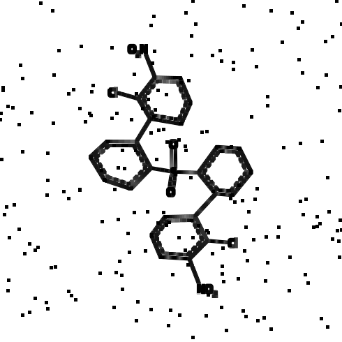 O=[N+]([O-])c1cccc(-c2ccccc2S(=O)(=O)c2ccccc2-c2cccc([N+](=O)[O-])c2Cl)c1Cl